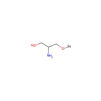 [2H]OCC(N)CO